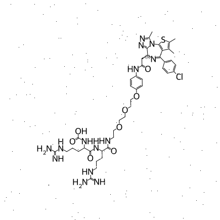 Cc1sc2c(c1C)C(c1ccc(Cl)cc1)=N[C@@H](CC(=O)Nc1ccc(OCCOCCOCCNC(=O)C(CCCNC(=N)N)NC(=O)C(CCCNC(=N)N)NC(=O)O)cc1)c1nnc(C)n1-2